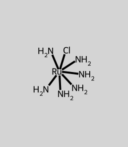 [NH2][Ru]([NH2])([NH2])([NH2])([NH2])([NH2])[Cl]